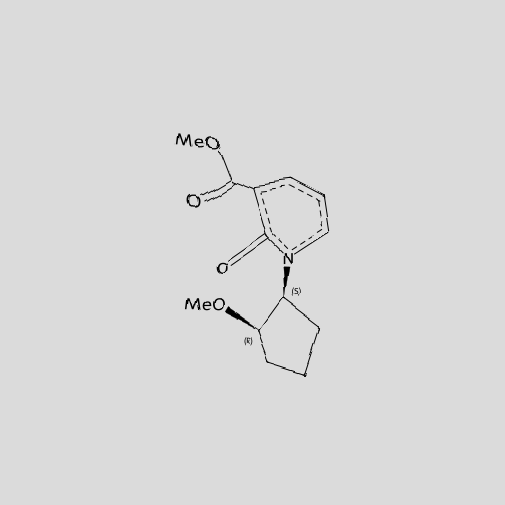 COC(=O)c1cccn([C@H]2CCC[C@H]2OC)c1=O